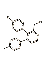 OCc1ccnc(-c2ccc(F)cc2)c1-c1ccc(F)cc1